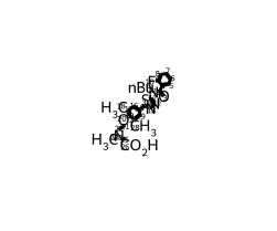 CCCCN(C(=O)c1ccccc1F)c1nnc(-c2cc(C)c(OCCN(C)CC(=O)O)c(C)c2)s1